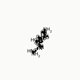 CO/N=C(\C(=O)N[C@@H]1C(=O)N2C(C(=O)O)=C(C(=S)c3nnnn3CCSCC(=N)N)CS[C@@H]12)c1nsc(N)n1